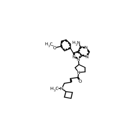 COc1cccc(-c2nn(C3CCN(C(=O)C=CCN(C)C4CCC4)C3)c3ncnc(N)c23)c1